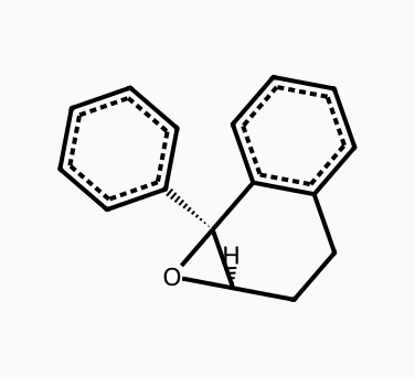 c1ccc([C@@]23O[C@@H]2CCc2ccccc23)cc1